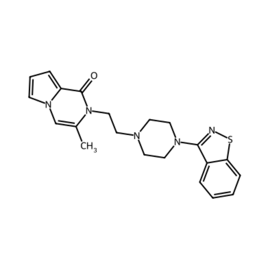 Cc1cn2cccc2c(=O)n1CCN1CCN(c2nsc3ccccc23)CC1